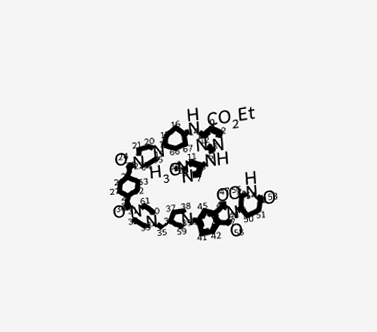 CCOC(=O)c1cnc(Nc2cnn(C)c2)nc1NC1CCC(N2CCN(C(=O)C3CCC(C(=O)N4CCN(C[C@H]5CCN(c6ccc7c(c6)C(=O)N(C6CCC(=O)NC6=O)C7=O)C5)CC4)CC3)CC2)CC1